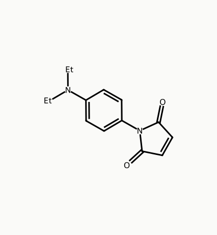 CCN(CC)c1ccc(N2C(=O)C=CC2=O)cc1